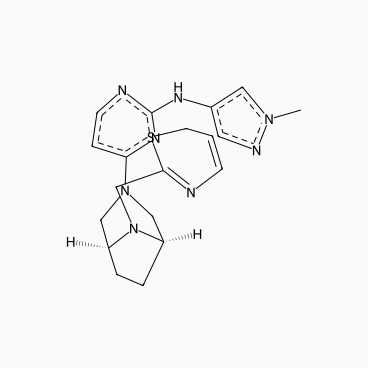 Cn1cc(Nc2nccc(N3C[C@H]4CC[C@@H](C3)N4CC3=NC=CCS3)n2)cn1